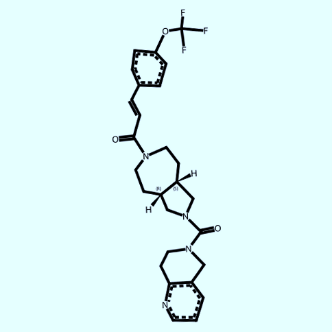 O=C(C=Cc1ccc(OC(F)(F)F)cc1)N1CC[C@@H]2CN(C(=O)N3CCc4ncccc4C3)C[C@@H]2CC1